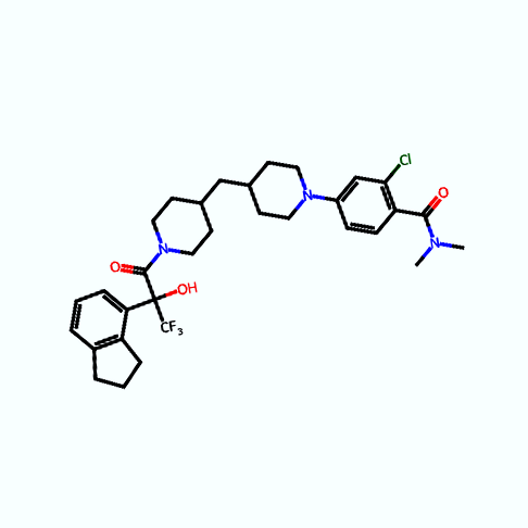 CN(C)C(=O)c1ccc(N2CCC(CC3CCN(C(=O)C(O)(c4cccc5c4CCC5)C(F)(F)F)CC3)CC2)cc1Cl